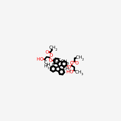 C=CC(=O)OC(CC(C)O)Oc1ccc(C)c(C2(c3c(C)ccc(OC(CC(C)O)OC(=O)C=C)c3C)c3ccccc3-c3ccccc32)c1C